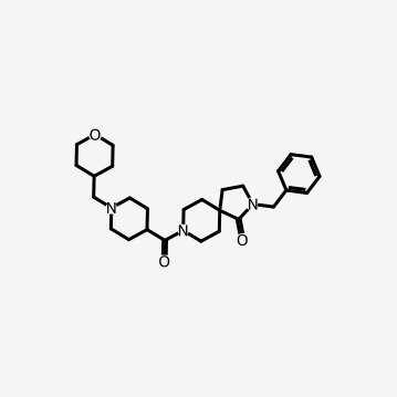 O=C(C1CCN(CC2CCOCC2)CC1)N1CCC2(CC1)CCN(Cc1ccccc1)C2=O